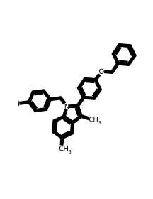 Cc1ccc2c(c1)c(C)c(-c1ccc(OCc3ccccc3)cc1)n2Cc1ccc(I)cc1